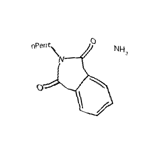 CCCCCN1C(=O)c2ccccc2C1=O.N